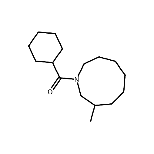 CC1CCCCCCN(C(=O)C2CCCCC2)C1